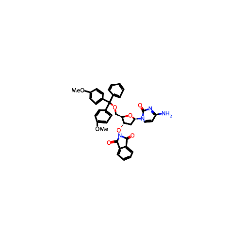 COc1ccc(C(OC[C@H]2O[C@@H](n3ccc(N)nc3=O)C[C@@H]2ON2C(=O)c3ccccc3C2=O)(c2ccccc2)c2ccc(OC)cc2)cc1